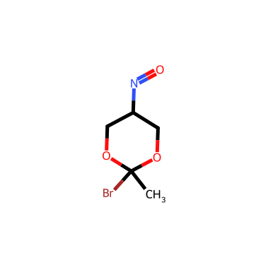 CC1(Br)OCC(N=O)CO1